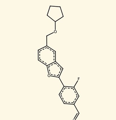 O=Cc1ccc(-c2cc3cc(COC4CCCC4)ccc3o2)c(F)c1